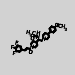 COc1ccc(C2CCN(CC(NC(C)=O)C3CCN(C(=O)/C=C/c4cc(F)c(F)c(F)c4)CC3)CC2)cc1